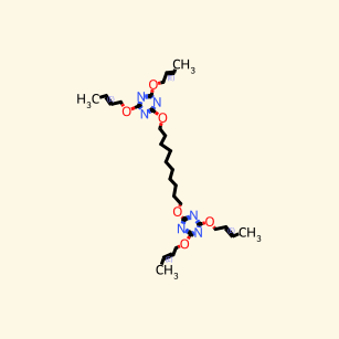 C/C=C/COc1nc(OC/C=C/C)nc(OCCCCCCCCCCOc2nc(OC/C=C/C)nc(OC/C=C/C)n2)n1